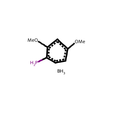 B.COc1ccc(P)c(OC)c1